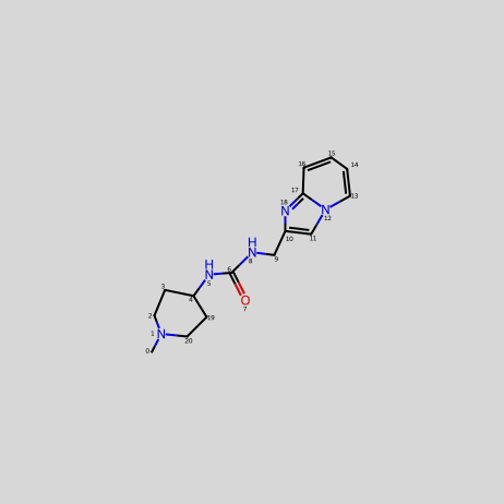 CN1CCC(NC(=O)NCc2cn3ccccc3n2)CC1